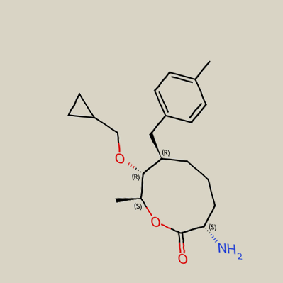 Cc1ccc(C[C@H]2CCC[C@H](N)C(=O)O[C@@H](C)[C@@H]2OCC2CC2)cc1